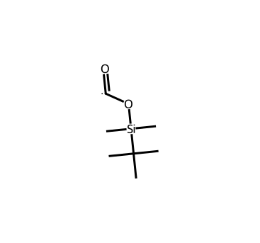 CC(C)(C)[Si](C)(C)O[C]=O